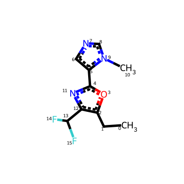 CCc1oc(-c2cncn2C)nc1C(F)F